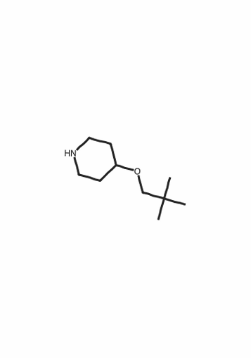 CC(C)(C)COC1CCNCC1